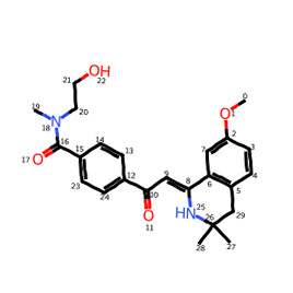 COc1ccc2c(c1)C(=CC(=O)c1ccc(C(=O)N(C)CCO)cc1)NC(C)(C)C2